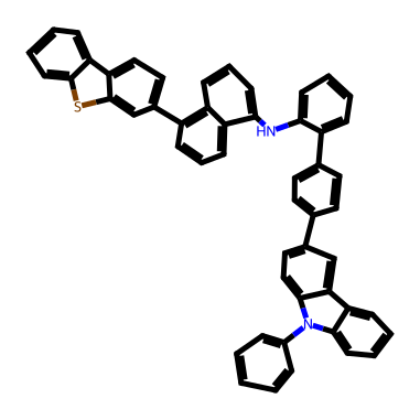 c1ccc(-n2c3ccccc3c3cc(-c4ccc(-c5ccccc5Nc5cccc6c(-c7ccc8c(c7)sc7ccccc78)cccc56)cc4)ccc32)cc1